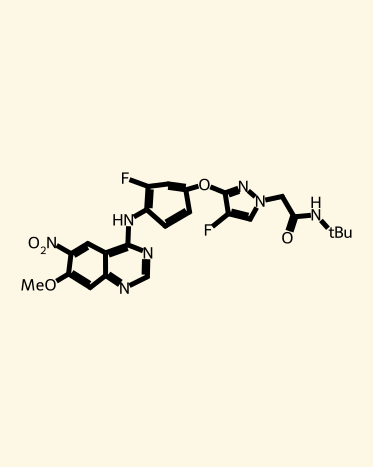 COc1cc2ncnc(Nc3ccc(Oc4nn(CC(=O)NC(C)(C)C)cc4F)cc3F)c2cc1[N+](=O)[O-]